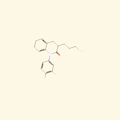 CNCCCC1CC2=CCCC=C2N(c2ccc(Cl)c(Cl)c2)C1=O